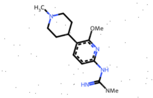 CNC(=N)Nc1ccc(C2CCN(C)CC2)c(OC)n1